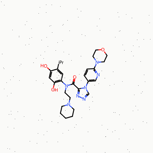 CC(C)c1cc(N(CCN2CCCCC2)C(=O)c2nncn2-c2ccc(N3CCOCC3)nc2)c(O)cc1O